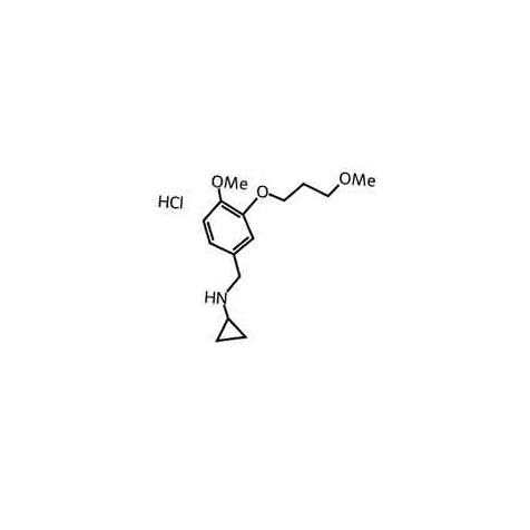 COCCCOc1cc(CNC2CC2)ccc1OC.Cl